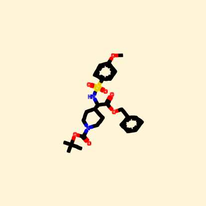 COc1ccc(S(=O)(=O)NC(C(=O)OCc2ccccc2)C2CCN(C(=O)OC(C)(C)C)CC2)cc1